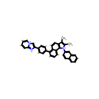 Cc1c(C)n(-c2ccc3ccccc3c2)c2c1ccc1c(-c3ccc(-c4cn5ccccc5n4)cc3)cccc12